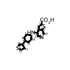 O=C(O)c1cc2c(Nc3ccc(-c4ccsc4)cc3)cncc2s1